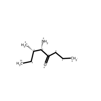 [CH2]CCC(=O)[C@@H](N)[C@@H](C)CC